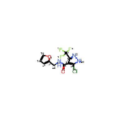 Cn1nc(C(F)(F)F)c(C(=O)NCc2ccco2)c1Cl